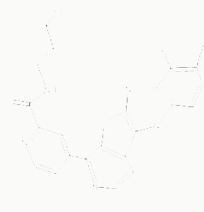 CCCCNC(=O)c1cc(-c2nccc3c(Nc4ccc(F)c(Cl)c4)c(N)oc23)ccn1